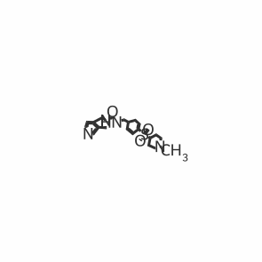 CN1CCC(S(=O)(=O)C2=CCC(CNC(=O)N3Cc4ccncc4C3)C=C2)CC1